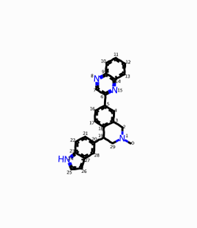 CN1Cc2cc(-c3cnc4ccccc4n3)ccc2C(c2ccc3[nH]ccc3c2)C1